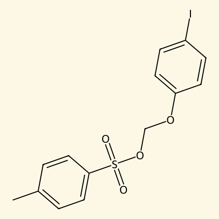 Cc1ccc(S(=O)(=O)OCOc2ccc(I)cc2)cc1